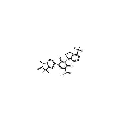 CN1C(=O)C(C)(C)c2cc(-n3cc(C(=O)O)c(=O)n([C@@H]4CCc5c4cccc5C(C)(F)F)c3=O)ccc21